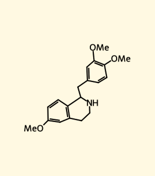 COc1ccc2c(c1)CCNC2Cc1ccc(OC)c(OC)c1